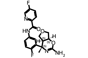 C[C@]1(c2cc(NC(=O)c3ccc(F)cn3)ccc2F)N=C(N)O[C@@H]2COC[C@@H]21